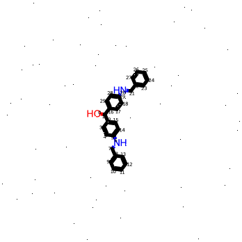 OC(c1ccc(NCc2ccccc2)cc1)c1ccc(NCc2ccccc2)cc1